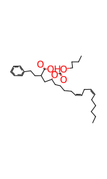 CCCCC/C=C\C/C=C\CCCCC(CC(CCc1ccccc1)C(=O)O)OC(=O)OCCCC